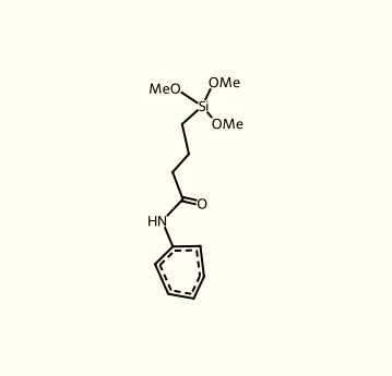 CO[Si](CCCC(=O)Nc1ccccc1)(OC)OC